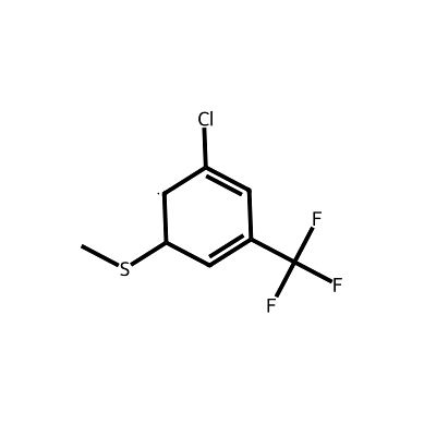 CSC1[CH]C(Cl)=CC(C(F)(F)F)=C1